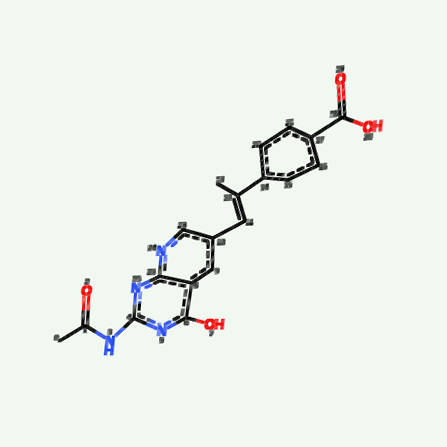 CC(=O)Nc1nc(O)c2cc(/C=C(\C)c3ccc(C(=O)O)cc3)cnc2n1